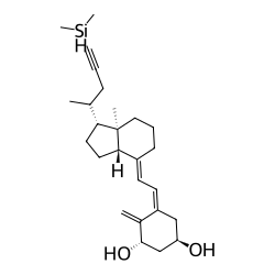 C=C1/C(=C\C=C2/CCC[C@]3(C)[C@@H](C(C)CC#C[SiH](C)C)CC[C@@H]23)C[C@@H](O)C[C@@H]1O